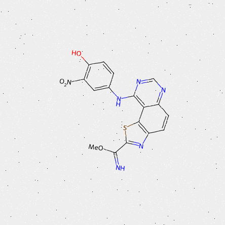 COC(=N)c1nc2ccc3ncnc(Nc4ccc(O)c([N+](=O)[O-])c4)c3c2s1